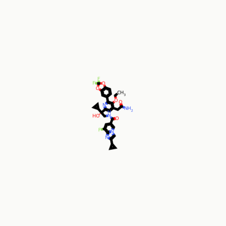 CCOc1c(CC(N)=O)cc([C@@](O)(CNC(=O)c2cc(F)c3nc(C4CC4)cn3c2)C2CC2)nc1-c1ccc2c(c1)OC(F)(F)O2